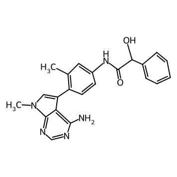 Cc1cc(NC(=O)C(O)c2ccccc2)ccc1-c1cn(C)c2ncnc(N)c12